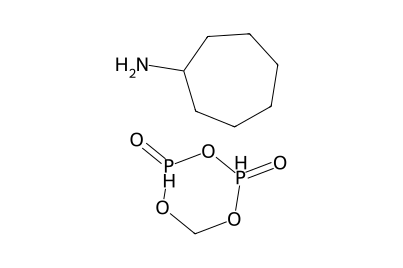 NC1CCCCCC1.O=[PH]1OCO[PH](=O)O1